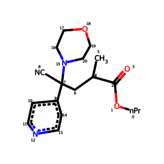 CCCOC(=O)C(C)CC(C#N)(c1ccncc1)N1CCOCC1